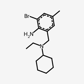 CCN(Cc1cc(C)cc(Br)c1N)C1CCCCC1